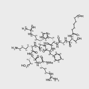 CCCCCCCCCCCCCCCC(=O)N[C@@H](CO)C(=O)NCC(=O)N[C@@H](Cc1c[nH]cn1)C(=O)N[C@@H](Cc1ccccc1)C(=O)N[C@@H](CCCNC(=N)N)C(=O)N[C@@H](CCCCN)C(=O)N[C@@H](CCC(=O)O)C(=O)N[C@@H](CCCNC(=N)N)C(=O)NC